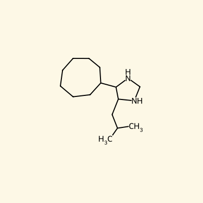 CC(C)CC1NCNC1C1CCCCCCC1